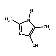 CCn1c(C)nc(C#N)c1C